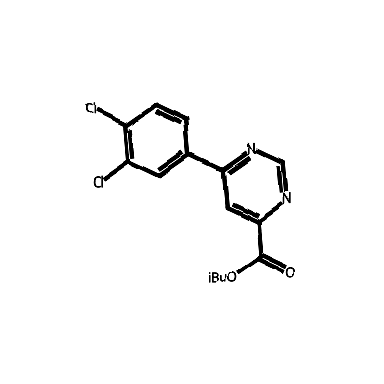 CC(C)COC(=O)c1cc(-c2ccc(Cl)c(Cl)c2)ncn1